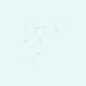 CC(C)(C)OC(=O)NN1C=C2c3c(cccc3C(=O)N1)NC2CN1CCOCC1